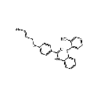 CCCCC=CCOc1ccc(C(=O)Nc2ccccc2Sc2ccccc2C#N)cc1